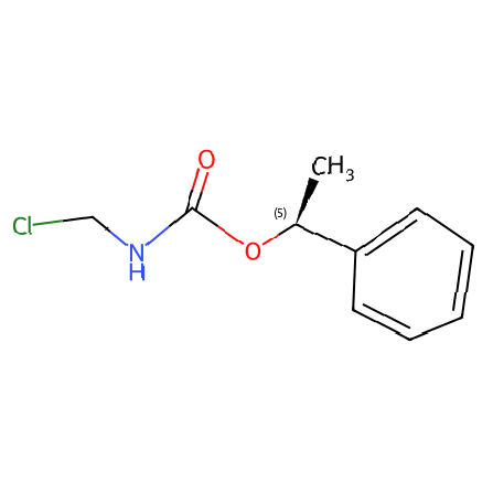 C[C@H](OC(=O)NCCl)c1ccccc1